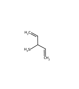 C=CC([SiH3])C=C